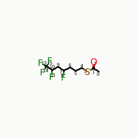 CC(=O)SCCCC(F)CC(F)C(F)(F)F